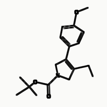 CCC1=C(c2ccc(OC)cc2)CN(C(=O)OC(C)(C)C)C1